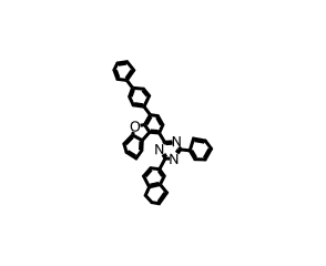 C1=Cc2cc(-c3nc(-c4ccccc4)nc(-c4ccc(-c5ccc(-c6ccccc6)cc5)c5oc6ccccc6c45)n3)ccc2CC1